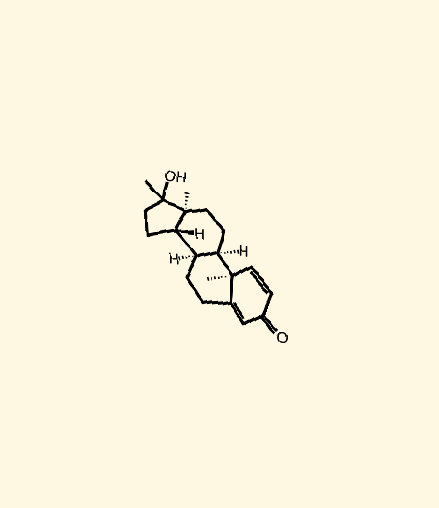 CC1(O)CC[C@H]2[C@@H]3CCC4=CC(=O)C=C[C@]4(C)[C@@H]3CC[C@@]21C